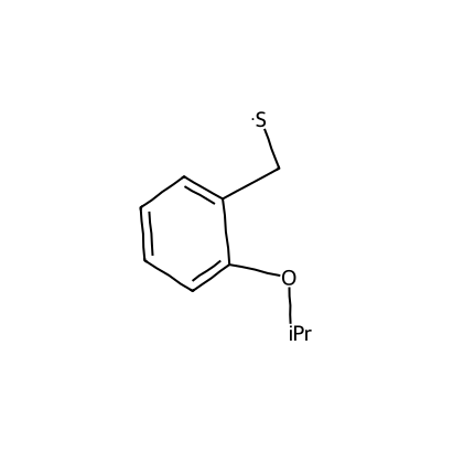 CC(C)Oc1ccccc1C[S]